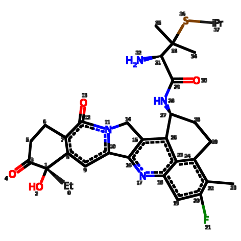 CC[C@@]1(O)C(=O)CCc2c1cc1n(c2=O)Cc2c-1nc1cc(F)c(C)c3c1c2[C@@H](NC(=O)[C@@H](N)C(C)(C)SC(C)C)CC3